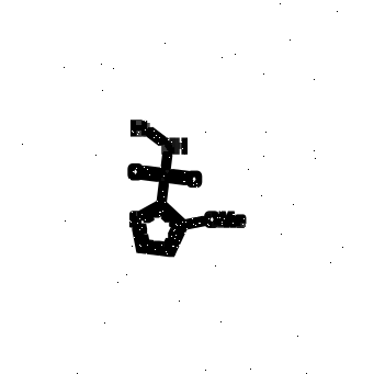 CCNS(=O)(=O)c1sccc1OC